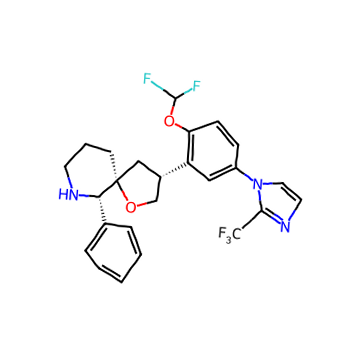 FC(F)Oc1ccc(-n2ccnc2C(F)(F)F)cc1[C@@H]1CO[C@]2(CCCN[C@H]2c2ccccc2)C1